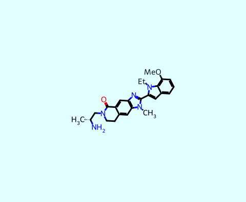 CCn1c(-c2nc3cc4c(cc3n2C)CCN(C[C@@H](C)N)C4=O)cc2cccc(OC)c21